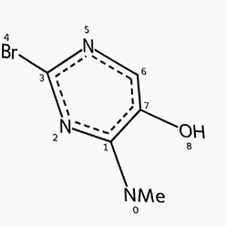 CNc1nc(Br)ncc1O